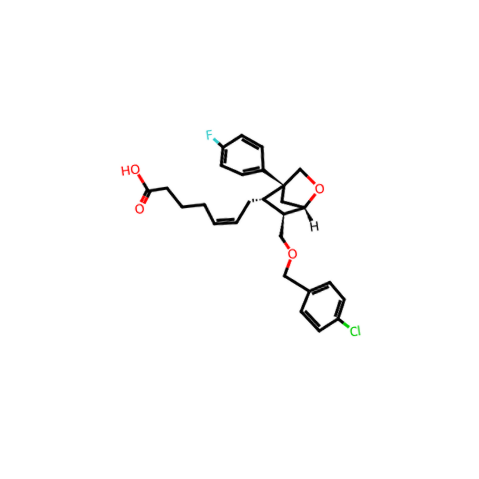 O=C(O)CCC/C=C\C[C@H]1[C@H](COCc2ccc(Cl)cc2)[C@@H]2C[C@@]1(c1ccc(F)cc1)CO2